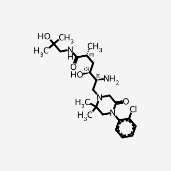 C[C@H](C[C@H](O)[C@@H](N)CN1CC(=O)N(c2ccccc2Cl)CC1(C)C)C(=O)NCC(C)(C)O